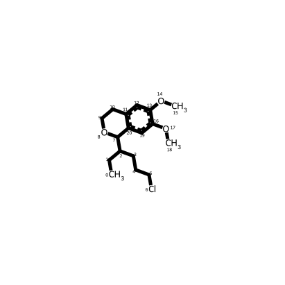 CCC(CCCCl)C1OCCc2cc(OC)c(OC)cc21